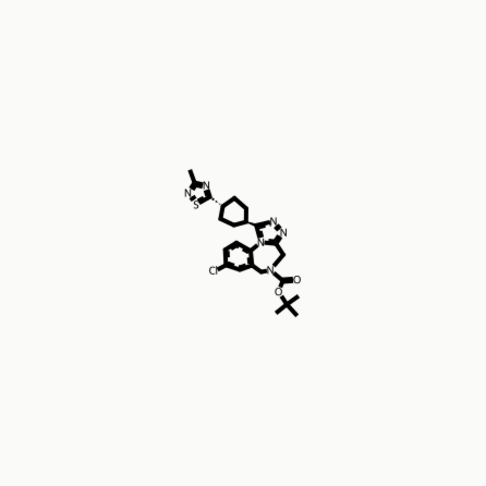 Cc1nsc([C@H]2CC[C@H](c3nnc4n3-c3ccc(Cl)cc3CN(C(=O)OC(C)(C)C)C4)CC2)n1